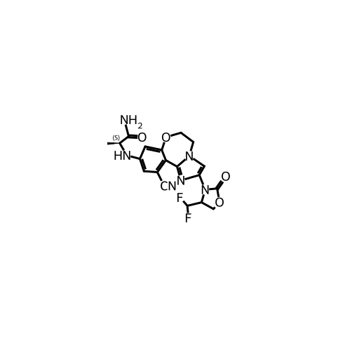 C[C@H](Nc1cc(C#N)c2c(c1)OCCn1cc(N3C(=O)OCC3C(F)F)nc1-2)C(N)=O